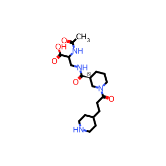 CC(=O)NC(CNC(=O)[C@H]1CCCN(C(=O)CCC2CCNCC2)C1)C(=O)O